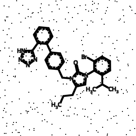 CCCc1cn(-c2c(Br)cccc2C(C)C)c(=O)n1Cc1ccc(-c2ccccc2-c2nnn[nH]2)cc1